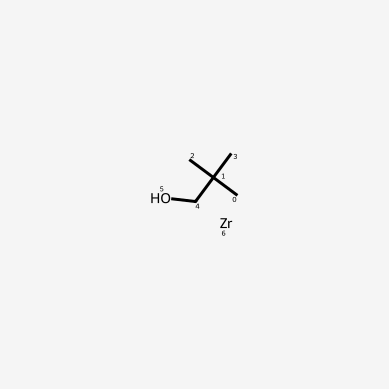 CC(C)(C)CO.[Zr]